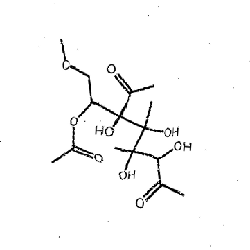 COCC(OC(C)=O)C(O)(C(C)=O)C(C)(O)C(C)(O)C(O)C(C)=O